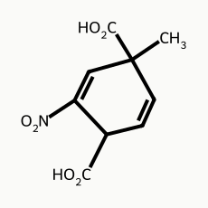 CC1(C(=O)O)C=CC(C(=O)O)C([N+](=O)[O-])=C1